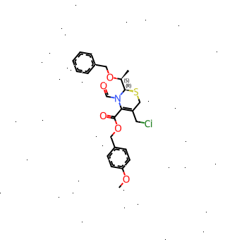 COc1ccc(COC(=O)C2=C(CCl)CS[C@H]([C@H](C)OCc3ccccc3)N2C=O)cc1